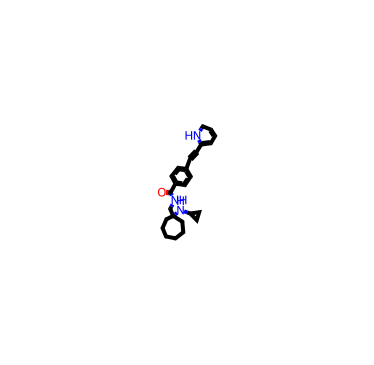 O=C(NCC1(NC2CC2)CCCCCC1)c1ccc(C#CC2=CC=CCN2)cc1